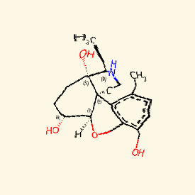 Cc1ccc(O)c2c1[C@]13CCN[C@H](C)[C@]1(O)CC[C@@H](O)[C@@H]3O2